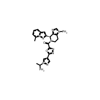 Cc1cccc2cc([C@H]3c4ncn(P)c4CCN3C(=O)c3nnc(-c4cnn(C(C)P)c4)o3)nn12